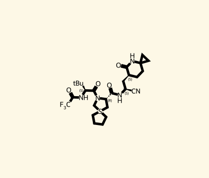 CC(C)(C)[C@H](NC(=O)C(F)(F)F)C(=O)N1CS2(CCCC2)C[C@H]1C(=O)N[C@H](C#N)C[C@@H]1CCC2(CC2)NC1=O